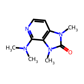 CN(C)c1nccc2c1n(C)c(=O)n2C